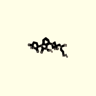 CCN(CCN)CC1(O)CN(c2cccc3c2n(C)c(=O)n3C2CCC(=O)NC2=O)C1